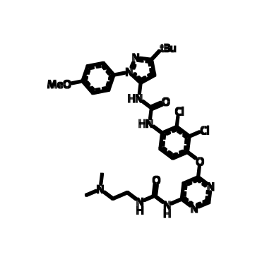 COc1ccc(-n2nc(C(C)(C)C)cc2NC(=O)Nc2ccc(Oc3cc(NC(=O)NCCN(C)C)ncn3)c(Cl)c2Cl)cc1